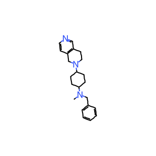 CN(Cc1ccccc1)C1CCC(N2CCc3cnccc3C2)CC1